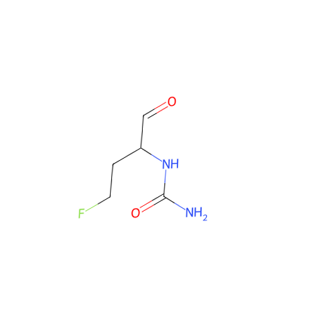 NC(=O)NC(C=O)CCF